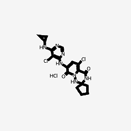 Cl.O=C1NC2(CCCC2)Nn2c1c(Cl)cc(Nc1ncnc(NC3CC3)c1Cl)c2=O